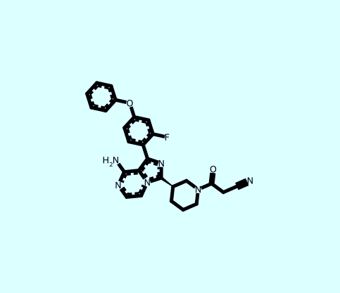 N#CCC(=O)N1CCC[C@@H](c2nc(-c3ccc(Oc4ccccc4)cc3F)c3c(N)nccn23)C1